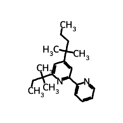 CCCC(C)(C)c1cc(-c2ccccn2)nc(C(C)(C)CC)c1